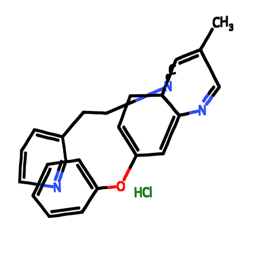 CC1=C2CCN(CCc3cccnc3)C23CC=C(Oc2ccccc2)C=C3N=C1.Cl